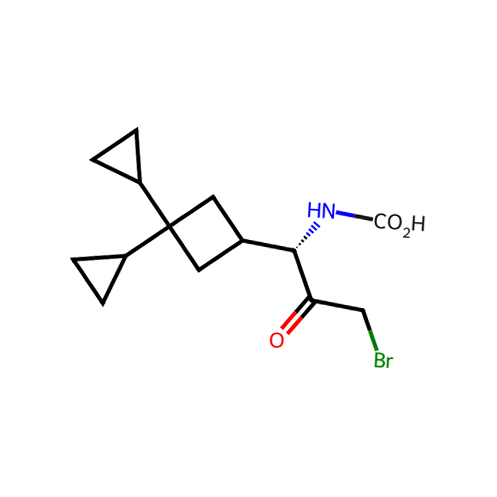 O=C(O)N[C@H](C(=O)CBr)C1CC(C2CC2)(C2CC2)C1